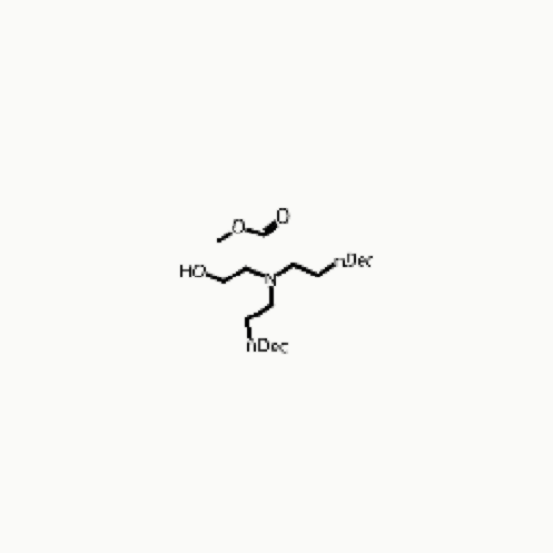 CCCCCCCCCCCCN(CCO)CCCCCCCCCCCC.COC=O